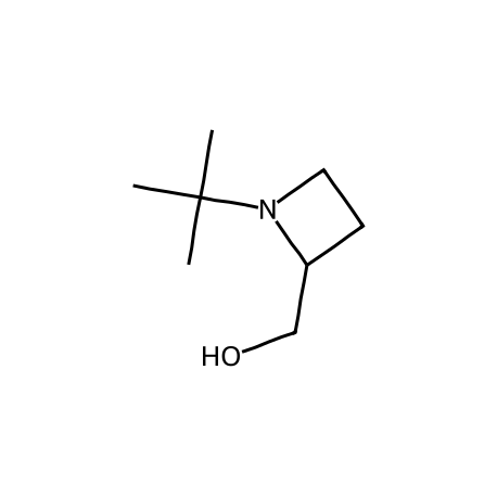 CC(C)(C)N1CCC1CO